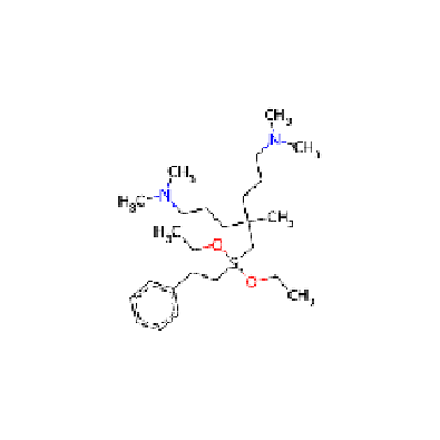 CCO[Si](CCc1ccccc1)(CC(C)(CCCN(C)C)CCCN(C)C)OCC